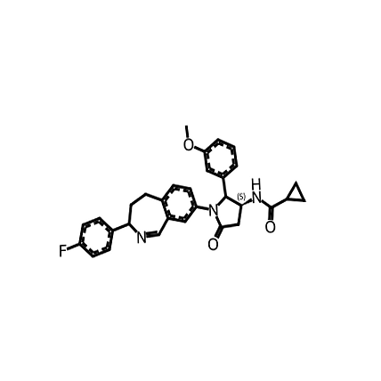 COc1cccc(C2[C@@H](NC(=O)C3CC3)CC(=O)N2c2ccc3c(c2)C=NC(c2ccc(F)cc2)CC3)c1